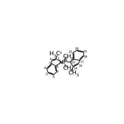 CC1=Cc2ccccc2[C]1[PH](C)(C)[C]1C(C)=Cc2ccccc21